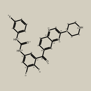 O=C(Nc1cccc(F)c1)Nc1cc(F)c(F)c(C(=O)c2ccc3ncc(N4CCNCC4)nc3c2)c1